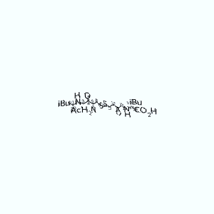 CC[C@H](C)[C@H](NCC(=O)[C@@H](N)CSSCCC(=O)CN[C@H](C(=O)O)[C@@H](C)CC)C(C)=O